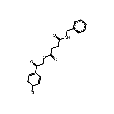 O=C(CCC(=O)OCC(=O)C1=CCC(Cl)C=C1)NCc1ccccc1